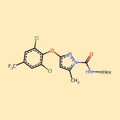 CCCCCCNC(=O)n1nc(Oc2c(Cl)cc(C(F)(F)F)cc2Cl)cc1C